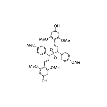 COc1ccc(C(C=Cc2c(OC)cc(O)cc2OC)S(=O)(=O)C(C=Cc2c(OC)cc(O)cc2OC)c2ccc(OC)cc2)cc1